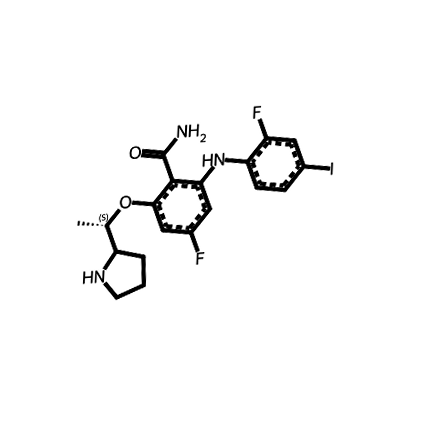 C[C@H](Oc1cc(F)cc(Nc2ccc(I)cc2F)c1C(N)=O)C1CCCN1